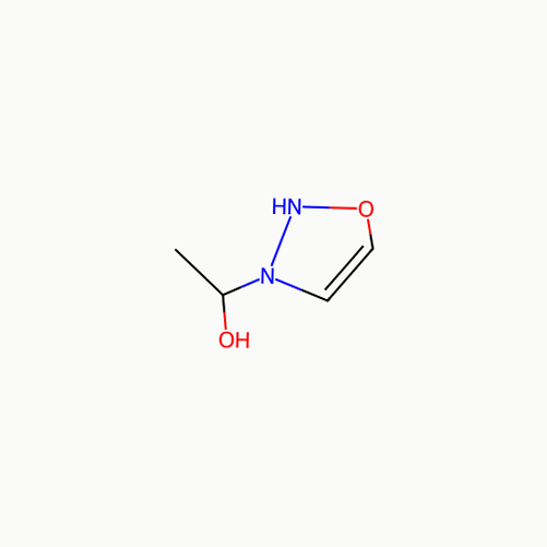 CC(O)N1C=CON1